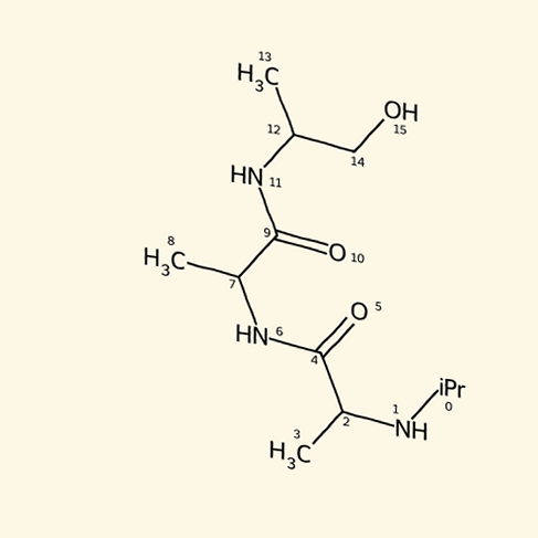 CC(C)NC(C)C(=O)NC(C)C(=O)NC(C)CO